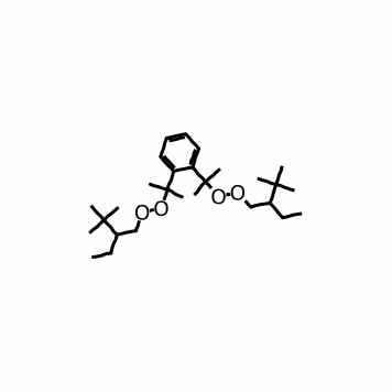 CCC(COOC(C)(C)c1ccccc1C(C)(C)OOCC(CC)C(C)(C)C)C(C)(C)C